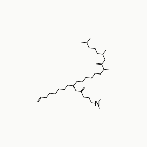 C=CCCCCCCC(CCCCCCC(C)C(=C)CC(C)CCCC(C)C)CC(=C)CCCN(C)C